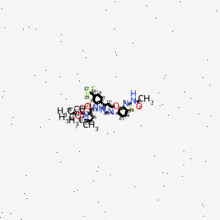 CC(=O)Nc1nc2c(Oc3cc(-c4ccc(C(F)(F)F)cc4NC(=O)C4CCC(C)(C)N4C(=O)OC(C)(C)C)ncn3)cccc2s1